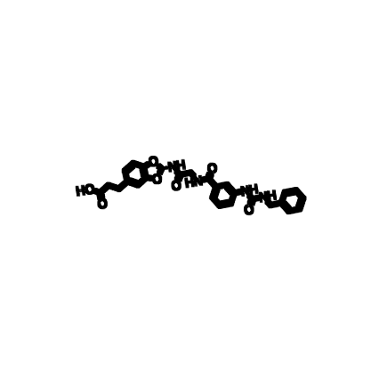 O=C(O)CCc1ccc2c(c1)O[C@@H](NC(=O)CNC(=O)c1cccc(NC(=O)NCc3ccccc3)c1)O2